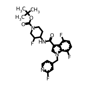 CC(C)(C)OC(=O)N1CCC(NC(=O)c2cn(Cc3ccnc(F)c3)c3c(F)ccc(F)c23)C(F)C1